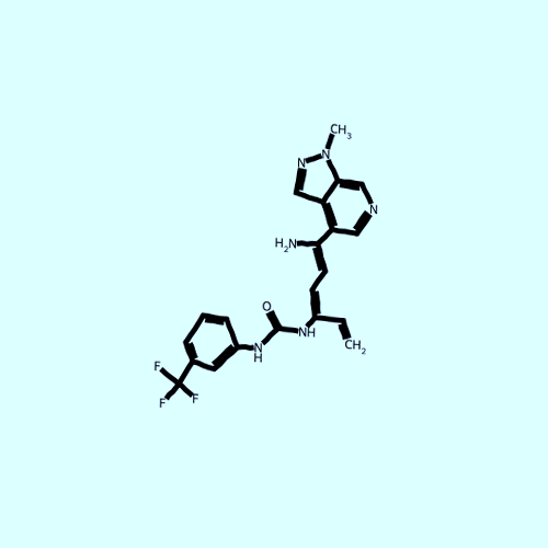 C=C/C(=C\C=C(/N)c1cncc2c1cnn2C)NC(=O)Nc1cccc(C(F)(F)F)c1